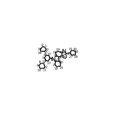 c1ccc(-c2cc(-c3ccccc3)cc(-n3c4ccccc4c4c5oc(-c6ccccc6)nc5ccc43)c2)cc1